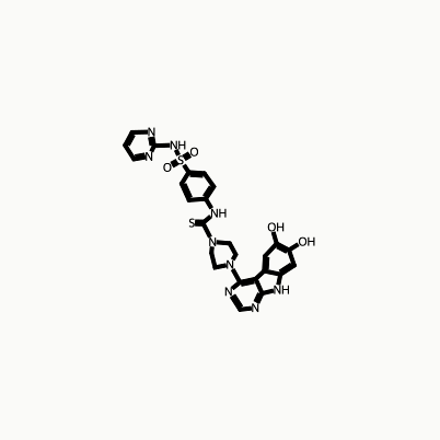 O=S(=O)(Nc1ncccn1)c1ccc(NC(=S)N2CCN(c3ncnc4[nH]c5cc(O)c(O)cc5c34)CC2)cc1